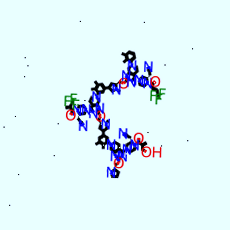 C=C(CO)C(=O)N1CCN(c2nc(OC[C@@H]3CCCN3C)nc3c2CCN(c2cc(C4C[C@@H](COc5nc6c(c(N7CCN(C(=O)C(=C)C(F)(F)F)[C@@H](CC#N)C7)n5)CCN(c5cc(C7C[C@@H](COc8nc9c(c(N%10CCN(C(=O)/C=C/C(F)(F)F)[C@@H](CC#N)C%10)n8)CCN(c8cccc(C)c8C)C9)N(C)C7)cc(C)c5C)C6)N(C)C4)cc(C)c2C)C3)C[C@@H]1CC#N